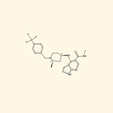 CNC(=O)c1cnc2[nH]ccc2c1N[C@@H]1CCN(Cc2ccc(C(F)(F)F)cc2)[C@H](C)C1